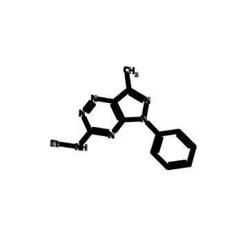 CCNc1nnc2c(C)nn(-c3ccccc3)c2n1